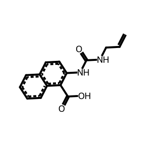 C=CCNC(=O)Nc1ccc2ccccc2c1C(=O)O